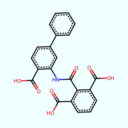 O=C(O)c1ccc(-c2ccccc2)cc1NC(=O)c1c(C(=O)O)cccc1C(=O)O